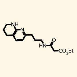 CCOC(=O)CC(=O)NCCCc1ccc2c(n1)NCCC2